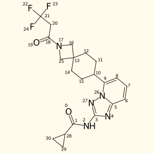 O=C(Nc1nc2cccc(C3CCC4(CC3)CN(C(=O)CC(F)(F)F)C4)n2n1)C1CC1